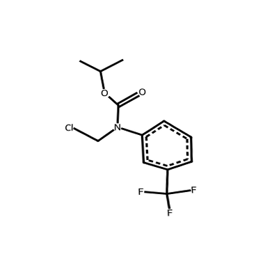 CC(C)OC(=O)N(CCl)c1cccc(C(F)(F)F)c1